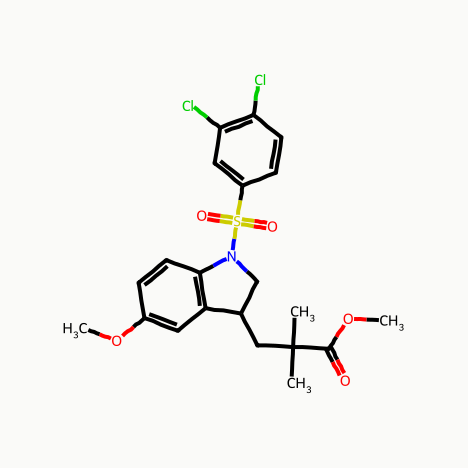 COC(=O)C(C)(C)CC1CN(S(=O)(=O)c2ccc(Cl)c(Cl)c2)c2ccc(OC)cc21